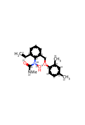 C=Cc1cccc(COc2ccc(C)cc2C)c1N(O)C(=O)NC